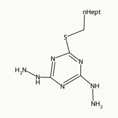 CCCCCCCCSc1nc(NN)nc(NN)n1